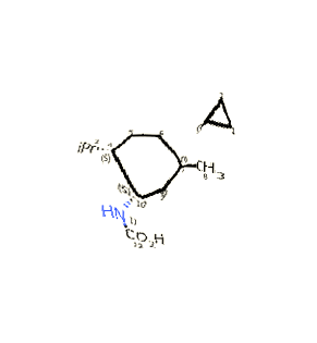 C1CC1.CC(C)[C@@H]1CC[C@@H](C)C[C@@H]1NC(=O)O